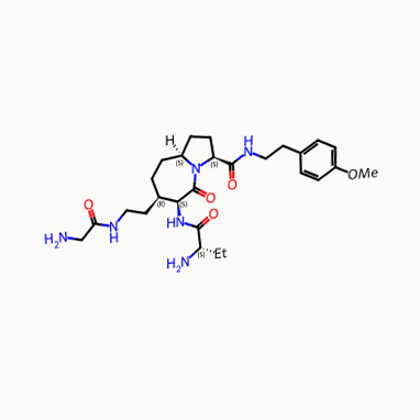 CC[C@H](N)C(=O)N[C@@H]1C(=O)N2[C@@H](CC[C@@H]1CCNC(=O)CN)CC[C@H]2C(=O)NCCc1ccc(OC)cc1